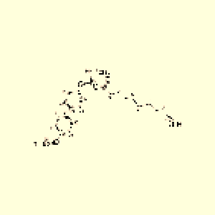 C#CCCCCCCCCC(=O)OC(CCCCC)Oc1ccc(-c2ccc(OCCCCCC)cc2)cc1